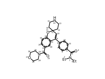 CCN(CC)C(=O)c1ccc(C2=CC3(CCNCC3)Oc3ccc(C(=O)N4CCOCC4)cc32)cc1